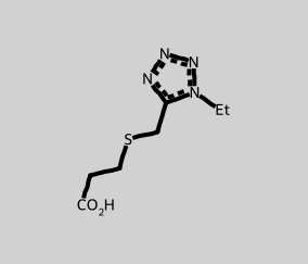 CCn1nnnc1CSCCC(=O)O